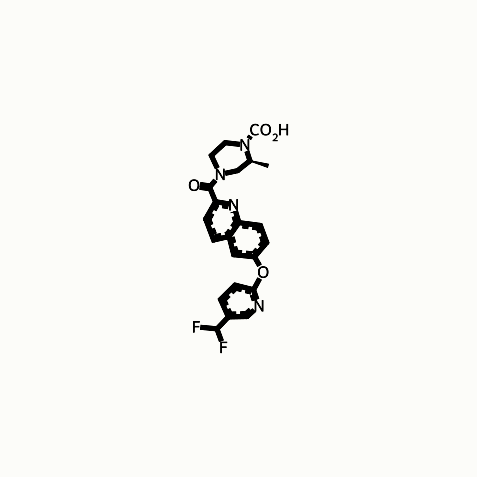 C[C@H]1CN(C(=O)c2ccc3cc(Oc4ccc(C(F)F)cn4)ccc3n2)CCN1C(=O)O